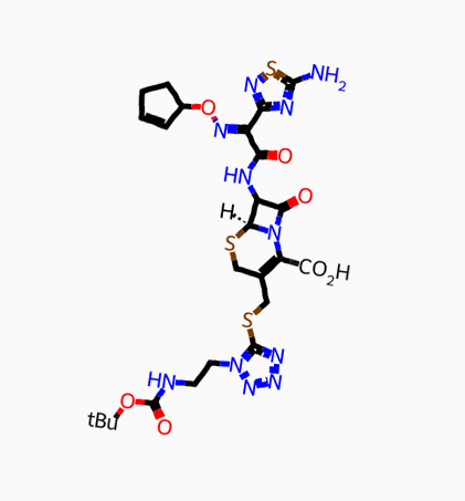 CC(C)(C)OC(=O)NCCn1nnnc1SCC1=C(C(=O)O)N2C(=O)C(NC(=O)C(=NOC3C=CCC3)c3nsc(N)n3)[C@@H]2SC1